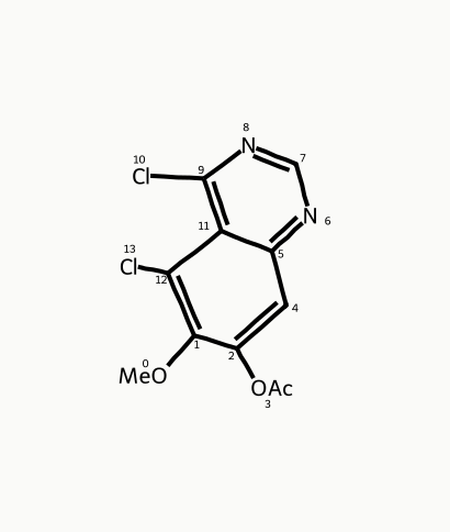 COc1c(OC(C)=O)cc2ncnc(Cl)c2c1Cl